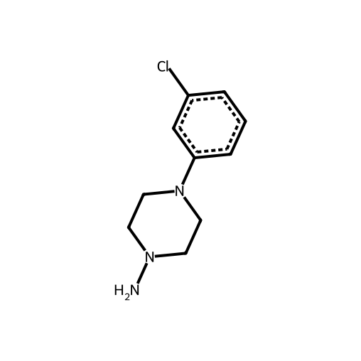 NN1CCN(c2cccc(Cl)c2)CC1